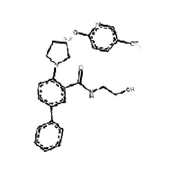 O=C(NCCO)c1cc(-c2ccccc2)ccc1N1CC[C@H](Oc2ccc(C(F)(F)F)cn2)C1